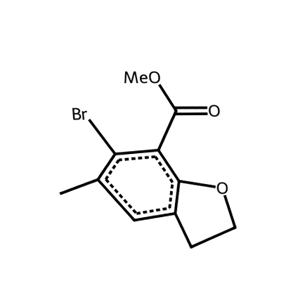 COC(=O)c1c(Br)c(C)cc2c1OCC2